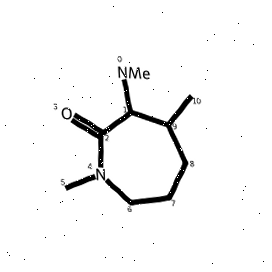 CNC1C(=O)N(C)CCCC1C